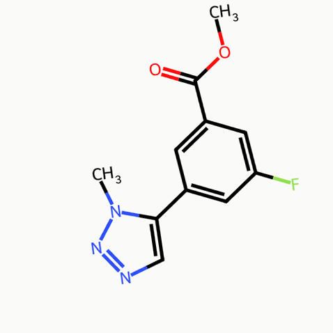 COC(=O)c1cc(F)cc(-c2cnnn2C)c1